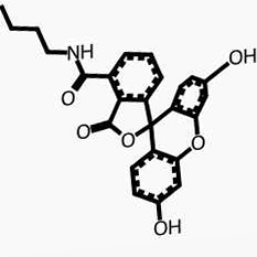 CCCCNC(=O)c1cccc2c1C(=O)OC21c2ccc(O)cc2Oc2cc(O)ccc21